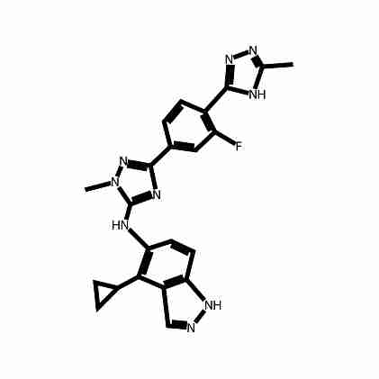 Cc1nnc(-c2ccc(-c3nc(Nc4ccc5[nH]ncc5c4C4CC4)n(C)n3)cc2F)[nH]1